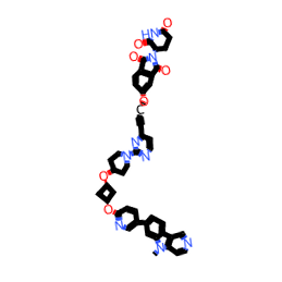 Cn1c2ccncc2c2ccc(-c3ccc(O[C@H]4C[C@H](OC5CCN(c6nccc(C#CCOc7ccc8c(c7)C(=O)N(C7CCC(=O)NC7=O)C8=O)n6)CC5)C4)nc3)cc21